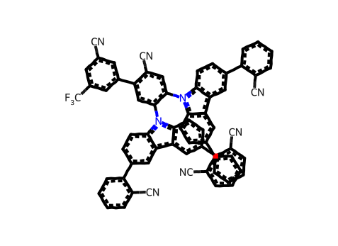 N#Cc1cc(-c2cc(-n3c4ccc(-c5ccccc5C#N)cc4c4cc(-c5ccccc5C#N)ccc43)c(-n3c4ccc(-c5ccccc5C#N)cc4c4cc(-c5ccccc5C#N)ccc43)cc2C#N)cc(C(F)(F)F)c1